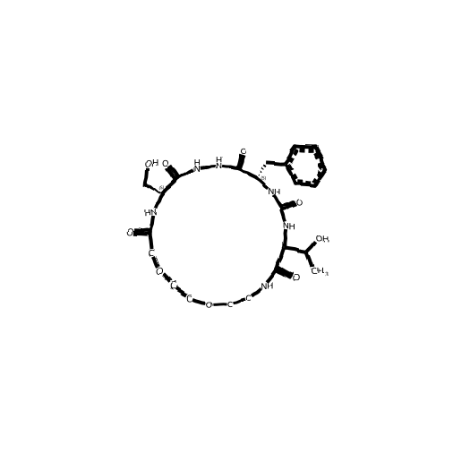 CC(O)C1NC(=O)N[C@@H](Cc2ccccc2)C(=O)NNC(=O)[C@H](CO)NC(=O)COCCOCCNC1=O